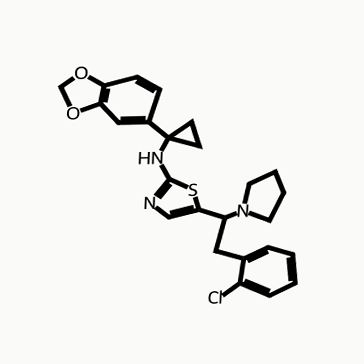 Clc1ccccc1CC(c1cnc(NC2(c3ccc4c(c3)OCO4)CC2)s1)N1CCCC1